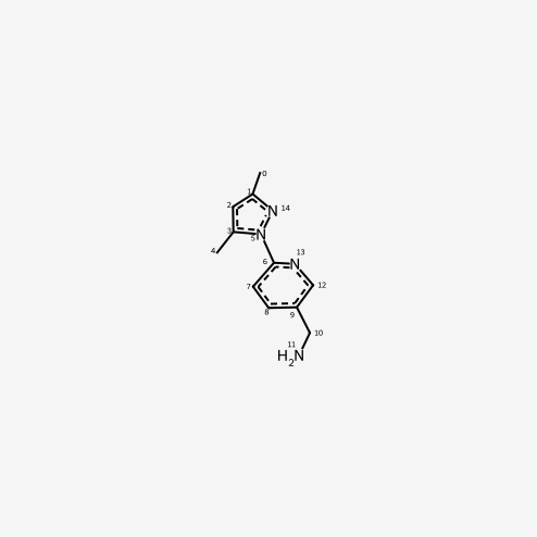 Cc1cc(C)n(-c2ccc(CN)cn2)n1